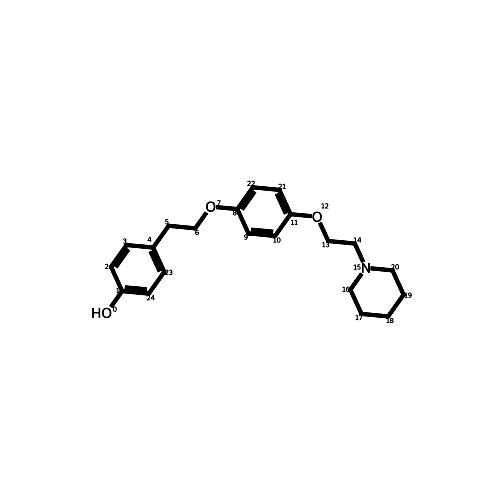 Oc1ccc(CCOc2ccc(OCCN3CCCCC3)cc2)cc1